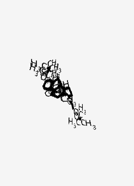 CC(C)(C)OOCCO[C@H]1CC[C@H]2[C@@H]3CC[C@H]4C[C@@H](O[Si](C)(C)C(C)(C)C)CC[C@]4(C)[C@H]3CC[C@]12C